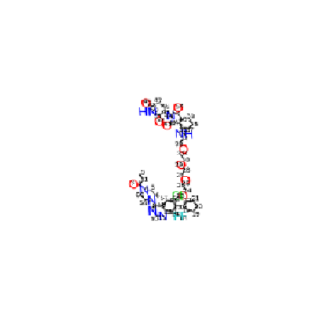 C=CC(=O)N1CCN(c2ncnc3c(F)c(-c4c(F)cccc4OCCOCCOCCOCCNc4cccc5c4C(=O)N(C4CCC(=O)NC4=O)C5=O)c(Cl)cc23)CC1